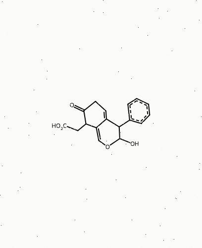 O=C(O)CC1C(=O)CC=C2C1=COC(O)C2c1ccccc1